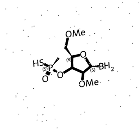 B[C@@H]1O[C@H](COC)C(O[P@](C)(=O)S)C1OC